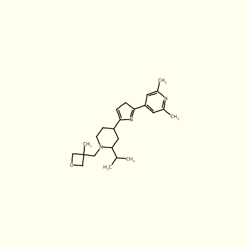 Cc1cc(C2=NC(C3CCN(CC4(C)COC4)C(C(C)C)C3)=CC2)cc(C)n1